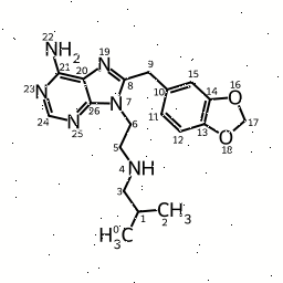 CC(C)CNCCn1c(Cc2ccc3c(c2)OCO3)nc2c(N)ncnc21